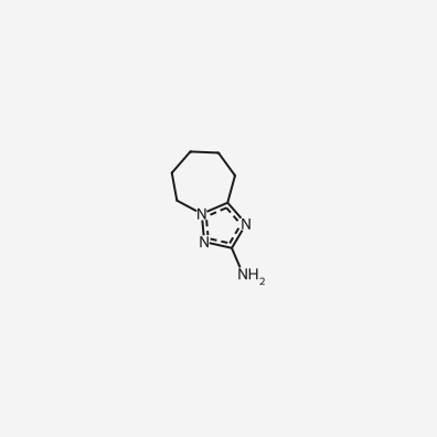 Nc1nc2n(n1)CCCCC2